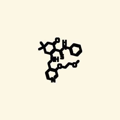 COCCOc1cnccc1CNC1=C(C(=S)Nc2ccccc2)C(=O)CC(C)(C)C1